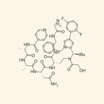 C[C@H](NC(=O)c1ccncc1)C(=O)N[C@@H](C)C(=O)N[C@@H](CC(N)=O)C(=O)N[C@@H](CCN(C(=O)CO)[C@@H](c1cc(-c2cc(F)ccc2F)cn1Cc1ccccc1)C(C)(C)C)C(=O)NCCNC(=O)CN